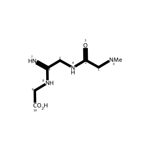 CNCC(=O)NCC(=N)NCC(=O)O